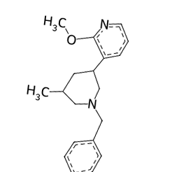 COc1ncccc1C1CC(C)CN(Cc2ccccc2)C1